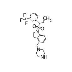 C=CC(c1cccc(C(F)(F)F)c1)S(=O)(=O)n1ccc2c(CN3CCNCC3)cccc21